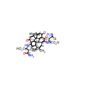 COC1=CC(=O)C2=C3C1=C1C(OC)=CC(=O)c4c(NC(CC(N)=O)C(=O)O)c(OC)c5c(c41)C3C(=C(NC(CC(N)=O)C(=O)O)C2O)C=C(C)C5C(C)=O